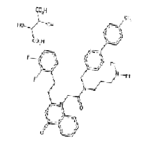 CCN(CC)CCCN(Cc1ccc(-c2ccc(C(F)(F)F)cc2)cc1)C(=O)Cn1c(CCc2cccc(F)c2F)cc(=O)c2ccccc21.O=C(O)C(O)C(O)C(=O)O